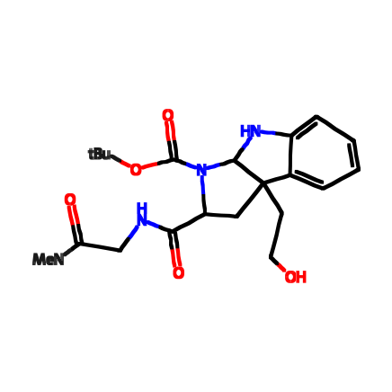 CNC(=O)CNC(=O)C1CC2(CCO)c3ccccc3NC2N1C(=O)OC(C)(C)C